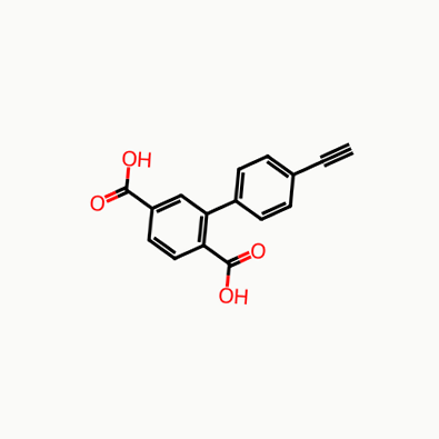 C#Cc1ccc(-c2cc(C(=O)O)ccc2C(=O)O)cc1